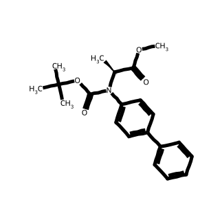 COC(=O)[C@H](C)N(C(=O)OC(C)(C)C)c1ccc(-c2ccccc2)cc1